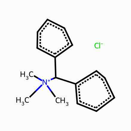 C[N+](C)(C)C(c1ccccc1)c1ccccc1.[Cl-]